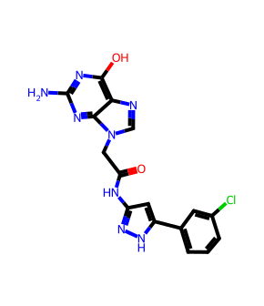 Nc1nc(O)c2ncn(CC(=O)Nc3cc(-c4cccc(Cl)c4)[nH]n3)c2n1